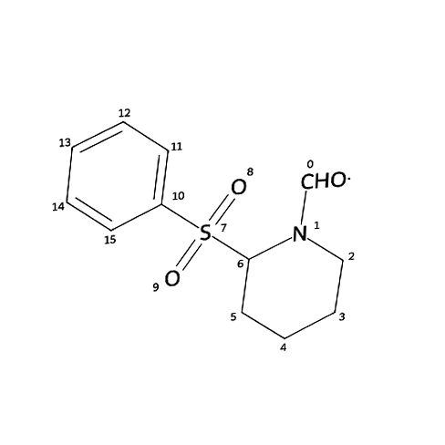 O=[C]N1CCCCC1S(=O)(=O)c1ccccc1